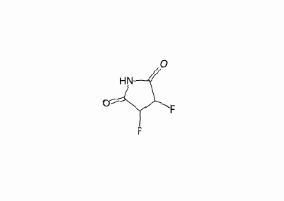 O=C1NC(=O)C(F)C1F